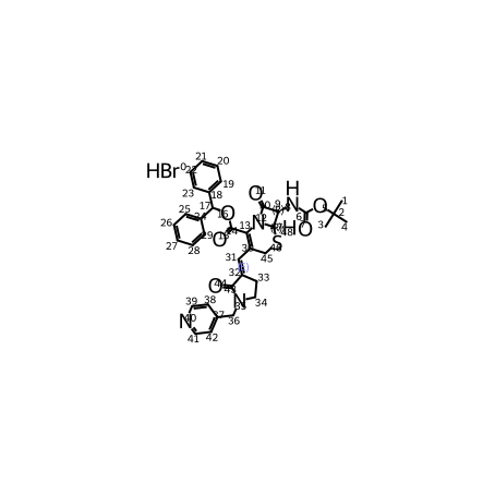 Br.CC(C)(C)OC(=O)N[C@@H]1C(=O)N2C(C(=O)OC(c3ccccc3)c3ccccc3)=C(/C=C3\CCN(Cc4ccncc4)C3=O)CS[C@H]12